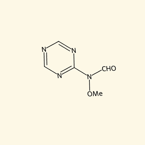 CON(C=O)c1ncncn1